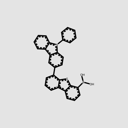 OB(O)c1cccc2c1sc1c(-c3ccc4c(c3)c3ccccc3n4-c3ccccc3)cccc12